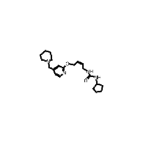 O=C(NC/C=C\COc1cc(CN2CCCCC2)ccn1)NC1CCCC1